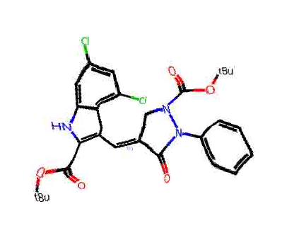 CC(C)(C)OC(=O)c1[nH]c2cc(Cl)cc(Cl)c2c1/C=C1\CN(C(=O)OC(C)(C)C)N(c2ccccc2)C1=O